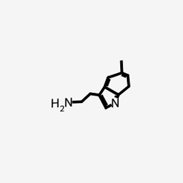 CC1=CCC2=NC=C(CCN)C2=C1